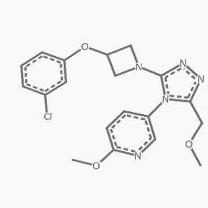 COCc1nnc(N2CC(Oc3cccc(Cl)c3)C2)n1-c1ccc(OC)nc1